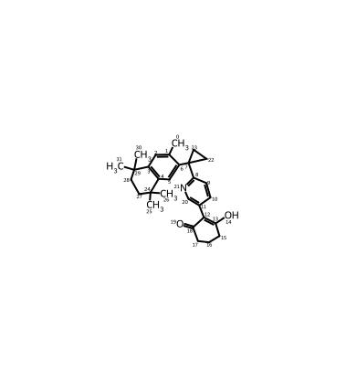 Cc1cc2c(cc1C1(c3ccc(C4=C(O)CCCC4=O)cn3)CC1)C(C)(C)CCC2(C)C